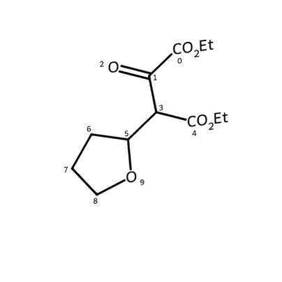 CCOC(=O)C(=O)C(C(=O)OCC)C1CCCO1